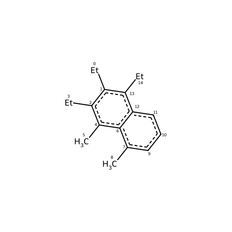 CCc1c(CC)c(C)c2c(C)cccc2c1CC